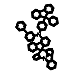 c1ccc(-c2cccc(N(c3ccc(C4(c5ccccc5)c5ccccc5-c5ccccc54)cc3)c3cccc4c3-c3ccccc3C43c4ccccc4-n4c5ccccc5c5cccc3c54)c2)cc1